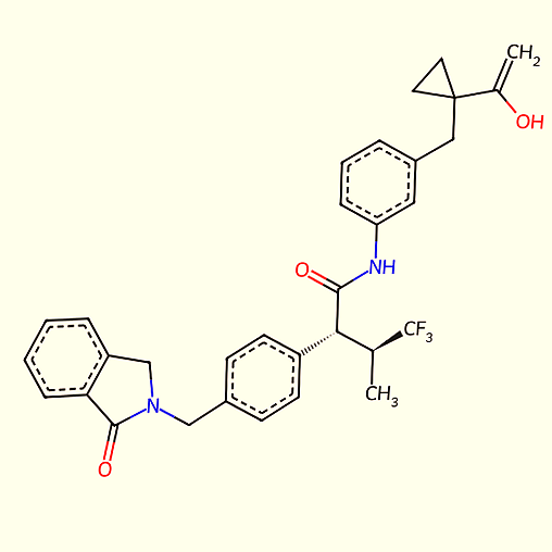 C=C(O)C1(Cc2cccc(NC(=O)[C@@H](c3ccc(CN4Cc5ccccc5C4=O)cc3)[C@H](C)C(F)(F)F)c2)CC1